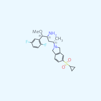 CO[C@H](c1cc(F)ccc1F)[C@@H](N)C[C@H](C)N1Cc2ccc(S(=O)(=O)C3CC3)cc2C1